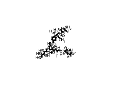 CCn1c(CN(C=O)c2nc(Cl)c(N)nc2N)[n+](CC)c2ccc(C(=O)NCCN(C[C@H](O)[C@@H](O)[C@H](O)[C@H](O)CO)C[C@H](O)[C@@H](O)[C@H](O)[C@H](O)CO)cc21.O=C(O)C(F)(F)F.O=C([O-])C(F)(F)F